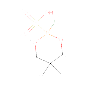 CC1(C)CO[P](Cl)(S(=O)(=O)O)OC1